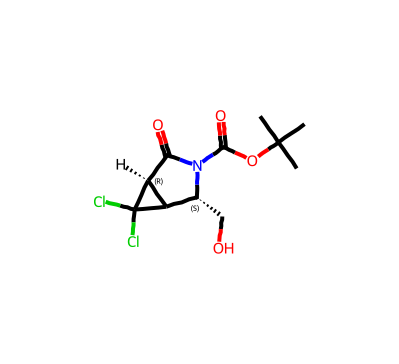 CC(C)(C)OC(=O)N1C(=O)[C@H]2C([C@H]1CO)C2(Cl)Cl